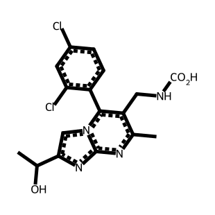 Cc1nc2nc(C(C)O)cn2c(-c2ccc(Cl)cc2Cl)c1CNC(=O)O